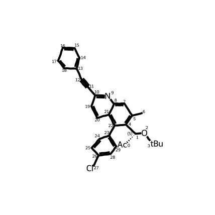 CC(=O)[C@@H](OC(C)(C)C)c1c(C)cc2nc(C#Cc3ccccc3)ccc2c1-c1ccc(Cl)cc1